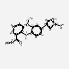 CNC(=O)c1nnccc1Nc1ccc(-c2cnn(C(C)C)c2)cc1OC(C)C